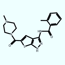 Cc1ccccc1C(=O)Nc1n[nH]c2sc(C(=O)N3CCN(C)CC3)cc12